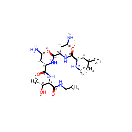 CCNC(=O)[C@@H](NC(=O)[C@H](CCN)NC(=O)[C@H](CCN)NC(=O)[C@H](CC(C)C)NC)[C@@H](C)O